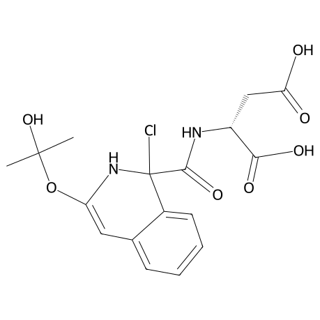 CC(C)(O)OC1=Cc2ccccc2C(Cl)(C(=O)N[C@H](CC(=O)O)C(=O)O)N1